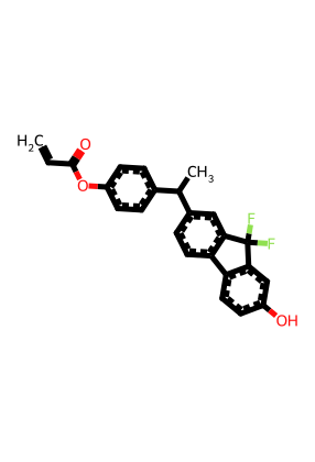 C=CC(=O)Oc1ccc(C(C)c2ccc3c(c2)C(F)(F)c2cc(O)ccc2-3)cc1